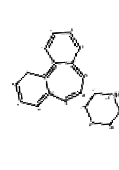 C1=CCC2=c3ccccc3=CC=CC2=C1.C1CCNCC1